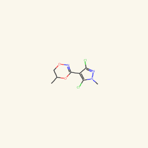 CC1CON=C(c2c(Cl)nn(C)c2Cl)O1